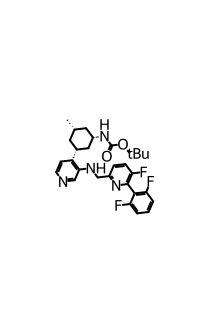 C[C@@H]1C[C@H](NC(=O)OC(C)(C)C)C[C@H](c2ccncc2NCc2ccc(F)c(-c3c(F)cccc3F)n2)C1